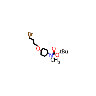 CN(C(=O)OC(C)(C)C)[C@H]1CC[C@H](OCCCCBr)CC1